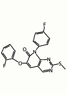 CSc1ncc2cc(Oc3ccccc3F)c(=O)n(-c3ccc(F)cc3)c2n1